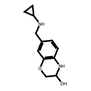 OC1COc2cc(CNC3CC3)ccc2N1